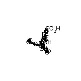 CC(Nc1ncnc2c1cc(N1CCS(=O)(=O)CC1)c(=O)n2CCCOCCCC1OCCO1)c1cccc(C(F)(F)C2CCN(C(=O)O)CC2)c1F